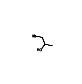 CC(O)[CH2][Rh]